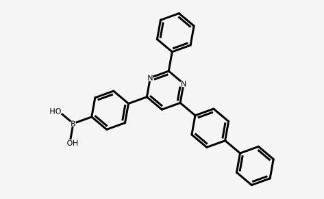 OB(O)c1ccc(-c2cc(-c3ccc(-c4ccccc4)cc3)nc(-c3ccccc3)n2)cc1